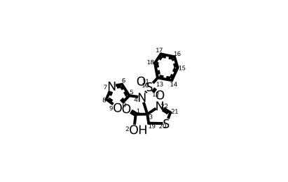 O=C(O)C1(N(c2cnco2)S(=O)(=O)c2ccccc2)CSC=N1